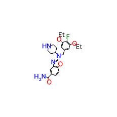 CCOc1cc(CN(c2nc3cc(C(N)=O)ccc3o2)C2CCNCC2)cc(OCC)c1F